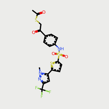 CC(=O)SCC(=O)c1ccc(NS(=O)(=O)c2ccc(-c3cc(C(F)(F)F)nn3C)s2)cc1